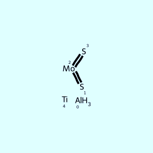 [AlH3].[S]=[Mo]=[S].[Ti]